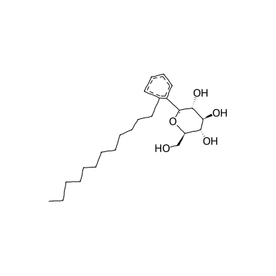 CCCCCCCCCCCCc1ccccc1[C]1O[C@H](CO)[C@@H](O)[C@H](O)[C@H]1O